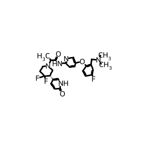 CC(C(=O)Nc1ccc(Oc2ccc(F)cc2CN(C)C)cn1)N1CCC(F)(F)[C@@H](c2ccc(=O)[nH]c2)C1